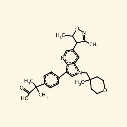 CC1=NOC(C)C1c1cnc2c(-c3ccc(C(C)(C)C(=O)O)cc3)cn(CC3(C)CCOCC3)c2c1